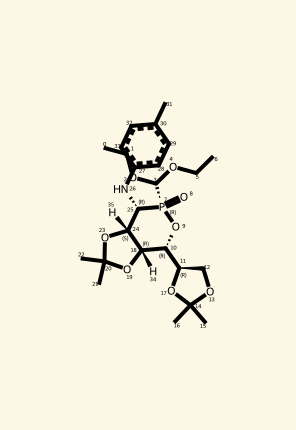 CCOC(OCC)[P@]1(=O)O[C@H]([C@H]2COC(C)(C)O2)[C@@H]2OC(C)(C)O[C@@H]2[C@@H]1Nc1ccc(C)cc1